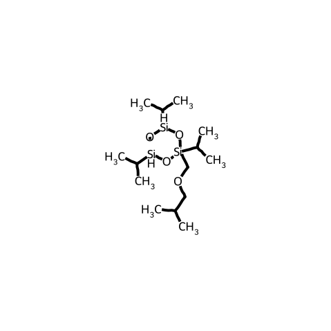 CC(C)COC[Si]1(C(C)C)O[SiH](C(C)C)O[SiH](C(C)C)O1